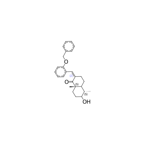 C[C@@H]1C(O)CC[C@]2(C)C(=O)/C(=C\c3ccccc3OCc3ccccc3)CCC12